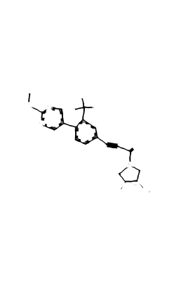 COc1ncc(-c2ccc(C#CC(=O)N3C[C@@H](O)[C@@H](O)C3)cc2C(F)(F)F)cn1